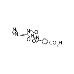 O=C(O)c1ccc(-c2coc(N3C(=O)C=NC(C#CCn4ccnc4)C3=O)n2)cc1